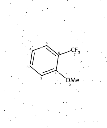 COc1c[c]ccc1C(F)(F)F